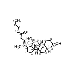 C=CCOC(=O)CC[C@@H](C)C1CC[C@H]2[C@@H]3CC[C@@H]4C[C@H](O)CC[C@]4(C)[C@H]3C[C@H](O)[C@]12C